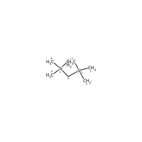 [CH2][Si](C)(C)C[Si](C)(C)C